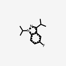 CC(C)c1nn(C(C)C)c2ccc(F)cc12